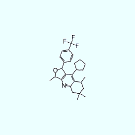 CC1CC(C)(C)Cc2nc3c(c(C4CCCC4)c21)C(c1ccc(C(F)(F)F)cc1)OC3C